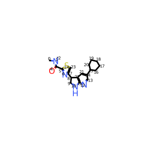 CN(C)C(=O)c1nc(C2CNc3ncc(C4CCCCC4)cc32)cs1